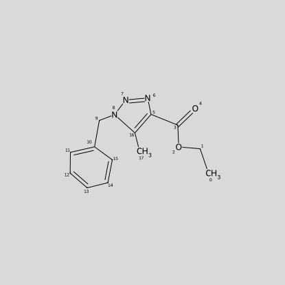 CCOC(=O)c1nnn(Cc2ccccc2)c1C